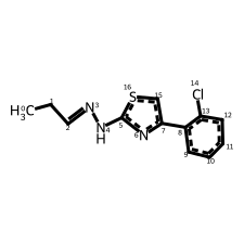 CC/C=N/Nc1nc(-c2ccccc2Cl)cs1